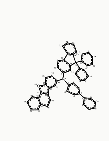 c1ccc(-c2ccc(N(c3ccc4c(c3)C(c3ccccc3)(c3ccccc3)c3ccccc3-4)c3cc4c(cn3)oc3c5ccccc5ccc43)cc2)cc1